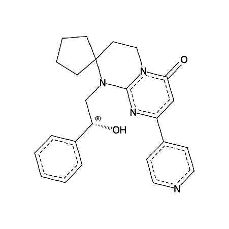 O=c1cc(-c2ccncc2)nc2n1CCC1(CCCC1)N2C[C@H](O)c1ccccc1